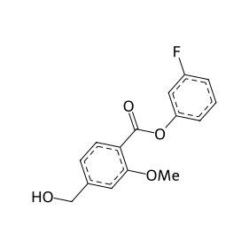 COc1cc(CO)ccc1C(=O)Oc1cccc(F)c1